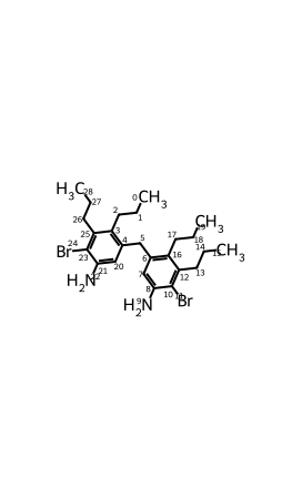 CCCc1c(Cc2cc(N)c(Br)c(CCC)c2CCC)cc(N)c(Br)c1CCC